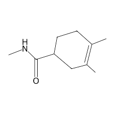 CNC(=O)C1CCC(C)=C(C)C1